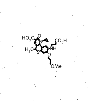 COCCCOc1cc2c(cc1NCCC(=O)O)-c1c(cc(C(=O)O)c(=O)n1C1CC1)C(C)S2